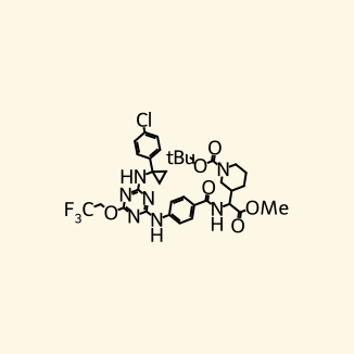 COC(=O)C(NC(=O)c1ccc(Nc2nc(NC3(c4ccc(Cl)cc4)CC3)nc(OCC(F)(F)F)n2)cc1)C1CCCN(C(=O)OC(C)(C)C)C1